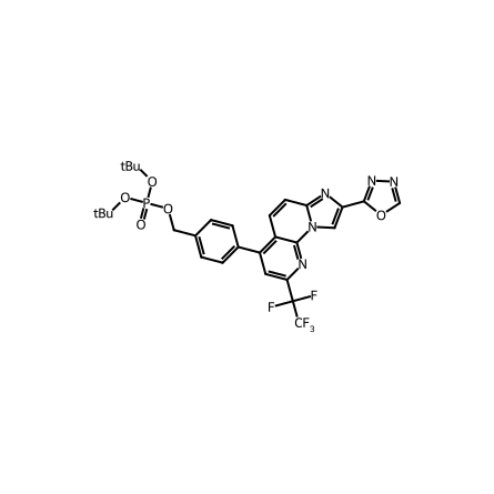 CC(C)(C)OP(=O)(OCc1ccc(-c2cc(C(F)(F)C(F)(F)F)nc3c2ccc2nc(-c4nnco4)cn23)cc1)OC(C)(C)C